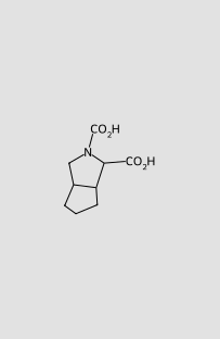 O=C(O)C1C2CCCC2CN1C(=O)O